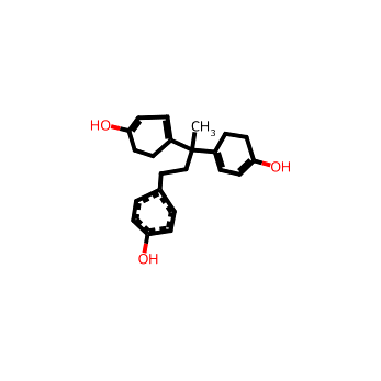 CC(CCc1ccc(O)cc1)(C1=CC=C(O)CC1)C1=CC=C(O)CC1